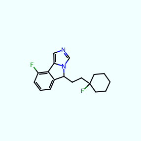 Fc1cccc2c1-c1cncn1C2CCC1(F)CCCCC1